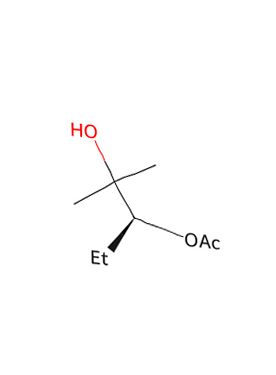 CC[C@H](OC(C)=O)C(C)(C)O